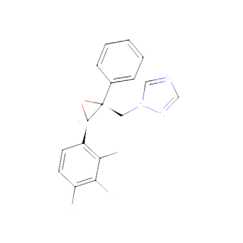 Clc1ccc([C@H]2O[C@]2(Cn2cncn2)c2ccccc2)c(Cl)c1Cl